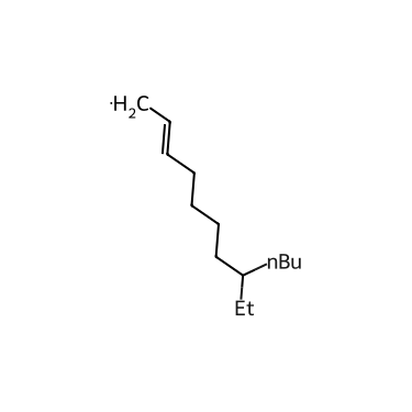 [CH2]C=CCCCCC(CC)CCC[CH2]